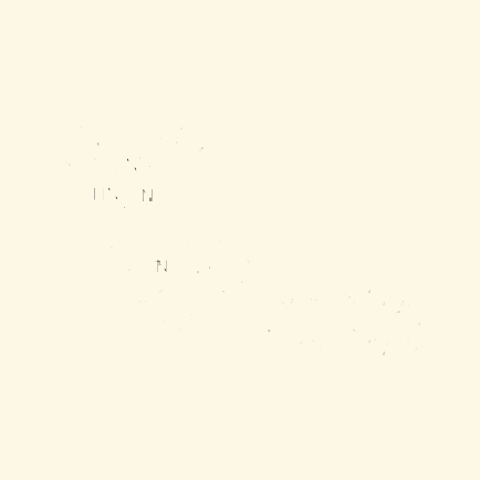 c1ccc(C2=NC(c3ccccc3)NC(c3cccc(-n4c5ccccc5c5c6cc(-c7ccc8ccc(-c9ccc%10ccccc%10c9)cc8c7)ccc6ccc54)c3)=N2)cc1